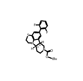 CC(C)(C)OC(=O)N1CC[C@H]2[C@@H](C1)c1cc(-c3c(F)cccc3F)cc3c1N2CCS3